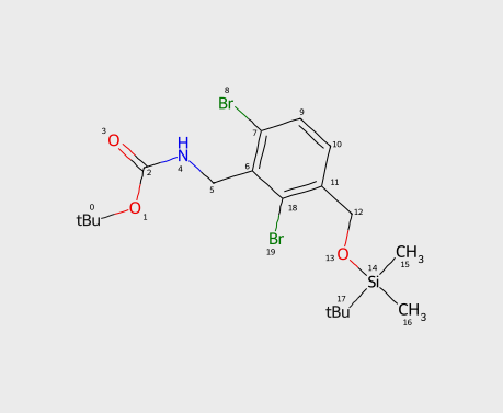 CC(C)(C)OC(=O)NCc1c(Br)ccc(CO[Si](C)(C)C(C)(C)C)c1Br